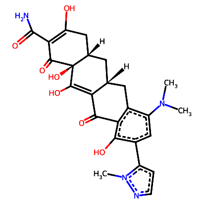 CN(C)c1cc(-c2ccnn2C)c(O)c2c1C[C@H]1C[C@H]3CC(O)=C(C(N)=O)C(=O)[C@@]3(O)C(O)=C1C2=O